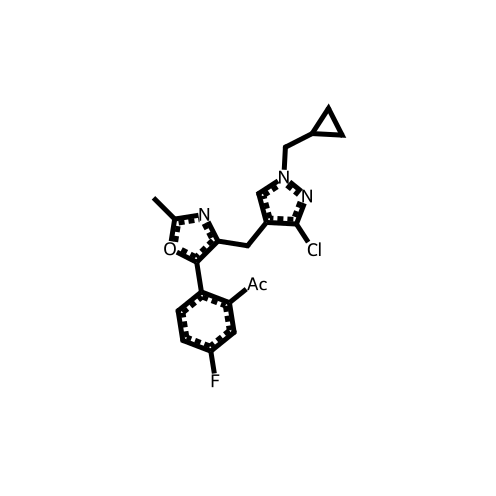 CC(=O)c1cc(F)ccc1-c1oc(C)nc1Cc1cn(CC2CC2)nc1Cl